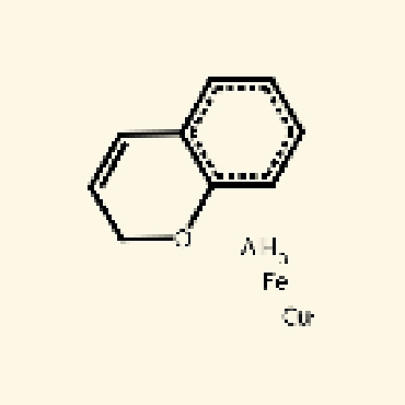 C1=Cc2ccccc2OC1.[AlH3].[Cu].[Fe]